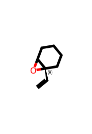 C=C[C@]12CCCCC1O2